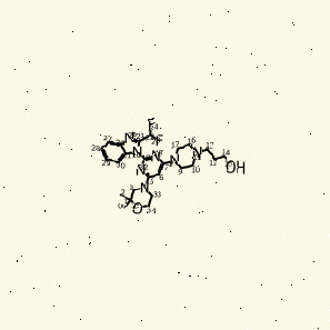 CC1(C)CN(c2cc(N3CCN(CCCO)CC3)nc(-n3c(C(F)F)nc4ccccc43)n2)CCO1